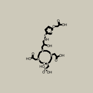 O=C(O)COc1ccc(SNCC(O)CN2CCN(CC(=O)O)CCN(CP(=O)(O)O)CCN(CC(=O)O)CC2)cc1